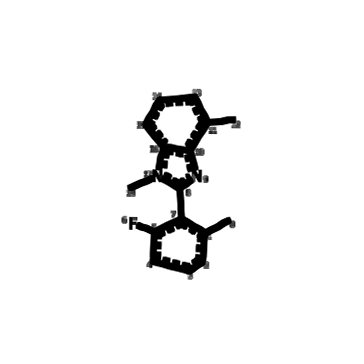 Cc1cccc(F)c1-c1nc2c(C)cccc2n1C